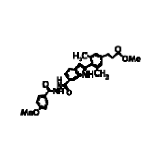 COC(=O)CCc1cc(C)c(-c2cc3ccc(C(=O)NNC(=O)c4ccc(OC)cc4)cc3[nH]2)c(C)c1